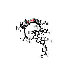 CCC(=O)N1CCN(c2cc(C)c3nc4c5c6c7c(C)c(O)c5c(=O)c(c-4oc3c2)NC(=O)/C(C)=C\C=C\[C@H](C)[C@H](O)[C@@H](C)[C@@H](O)[C@@H](C)[C@H](OC(C)=O)[C@H](C)[C@@H](OC)/C=C/O[C@@](C)(O7)C6=O)CC1